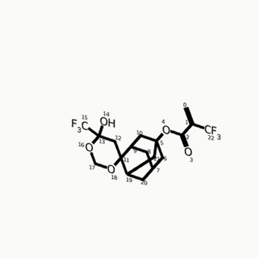 C=C(C(=O)OC12CC3CC(C1)C1(CC(O)(C(F)(F)F)OCO1)C(C3)C2)C(F)(F)F